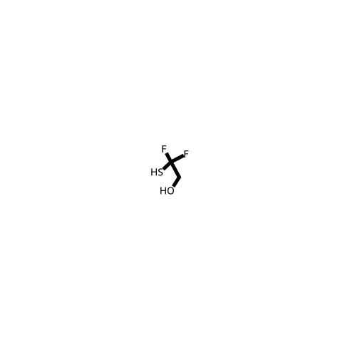 OCC(F)(F)S